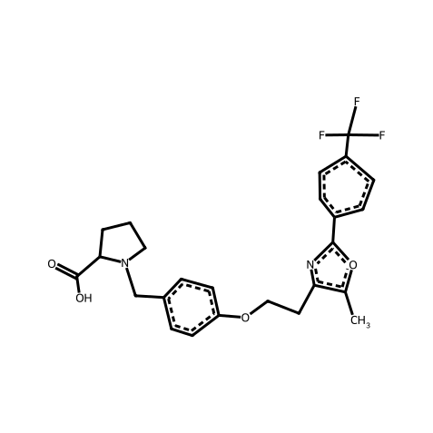 Cc1oc(-c2ccc(C(F)(F)F)cc2)nc1CCOc1ccc(CN2CCCC2C(=O)O)cc1